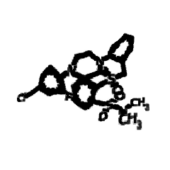 CN(C)S(=O)(=O)c1ccccc1S(=O)(=O)Cc1ccccc1N1CCN(c2ccc(Cl)cc2F)CC1